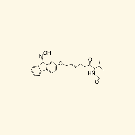 CC(C)[C@@H](NC=O)C(=O)CC/C=C/COc1ccc2c(c1)/C(=N\O)c1ccccc1-2